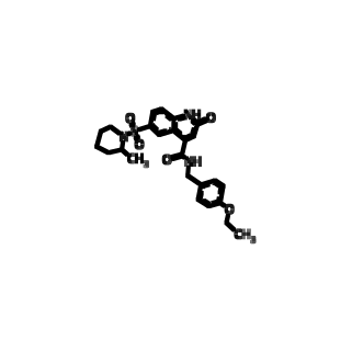 CCOc1ccc(CNC(=O)c2cc(=O)[nH]c3ccc(S(=O)(=O)N4CCCCC4C)cc23)cc1